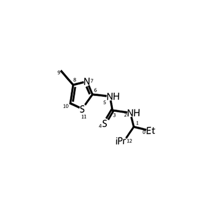 CCC(NC(=S)Nc1nc(C)cs1)C(C)C